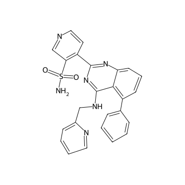 NS(=O)(=O)c1cnccc1-c1nc(NCc2ccccn2)c2c(-c3ccccc3)cccc2n1